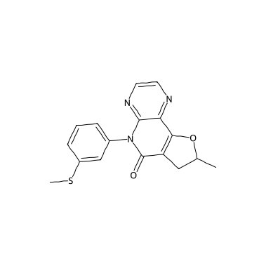 CSc1cccc(-n2c(=O)c3c(c4nccnc42)OC(C)C3)c1